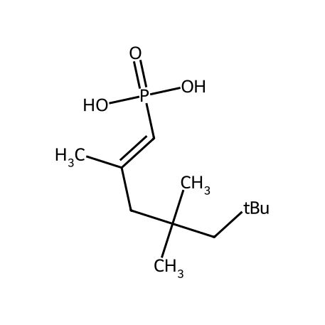 CC(=CP(=O)(O)O)CC(C)(C)CC(C)(C)C